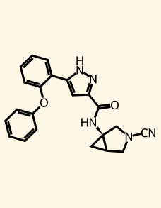 N#CN1CC2C[C@]2(NC(=O)c2cc(-c3ccccc3Oc3ccccc3)[nH]n2)C1